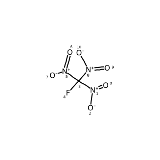 O=[N+]([O-])C(F)([N+](=O)[O-])[N+](=O)[O-]